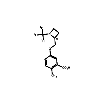 [2H]C([2H])([2H])N1CC[C@H]1COc1ccc(C)c(C(=O)O)c1